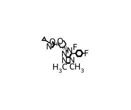 Cc1nc2nc([C@H]3CCO[C@H](c4cnc(C5CC5)o4)C3)nc(-c3ccc(F)cc3F)c2nc1C